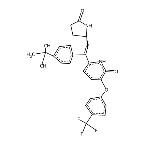 CC(C)(C)c1ccc(/C(=C\[C@H]2CCC(=O)N2)c2ccc(Oc3ccc(C(F)(F)F)cc3)c(=O)[nH]2)cc1